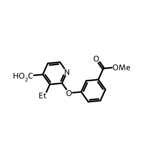 CCc1c(C(=O)O)ccnc1Oc1cccc(C(=O)OC)c1